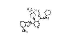 Cc1cccc2[nH]c(-c3cncc(C(=O)NC4CCCC4)c3N3CC[C@](C)(N)C3)nc12